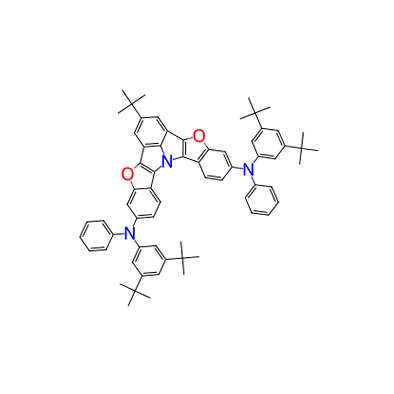 CC(C)(C)c1cc(N(c2ccccc2)c2ccc3c(c2)oc2c4cc(C(C)(C)C)cc5c6oc7cc(N(c8ccccc8)c8cc(C(C)(C)C)cc(C(C)(C)C)c8)ccc7c6n(c45)c32)cc(C(C)(C)C)c1